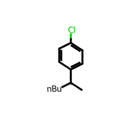 CCCC[C](C)c1ccc(Cl)cc1